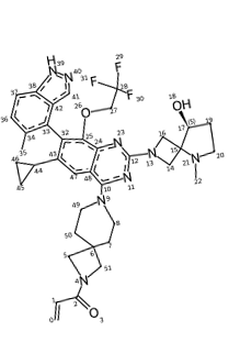 C=CC(=O)N1CC2(CCN(c3nc(N4CC5(C4)[C@@H](O)CCN5C)nc4c(OCC(F)(F)F)c(-c5c(C)ccc6[nH]ncc56)c(C5CC5)cc34)CC2)C1